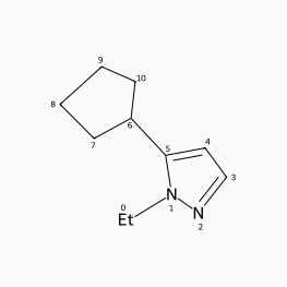 CCn1nccc1C1CCCC1